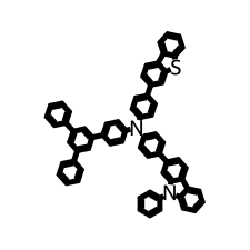 c1ccc(-c2cc(-c3ccccc3)cc(-c3ccc(N(c4ccc(-c5ccc6c(c5)sc5ccccc56)cc4)c4ccc(-c5ccc6c7ccccc7n(-c7ccccc7)c6c5)cc4)cc3)c2)cc1